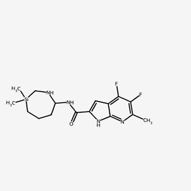 Cc1nc2[nH]c(C(=O)NC3CCC[Si](C)(C)CN3)cc2c(F)c1F